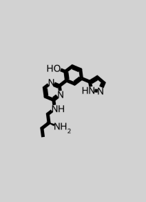 CC[C@H](N)CNc1ccnc(-c2cc(-c3ccn[nH]3)ccc2O)n1